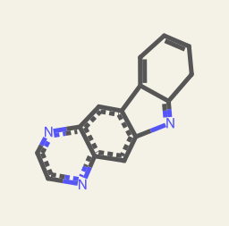 C1=CCC2=Nc3cc4nccnc4cc3C2=C1